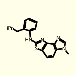 CC(C)Cc1ccccc1Nc1nc2c(ccc3c2ncn3C)s1